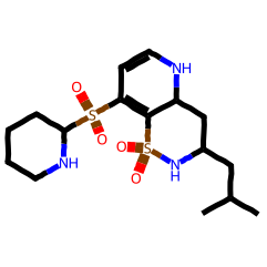 CC(C)CC1CC2NC=CC(S(=O)(=O)C3CCCCN3)=C2S(=O)(=O)N1